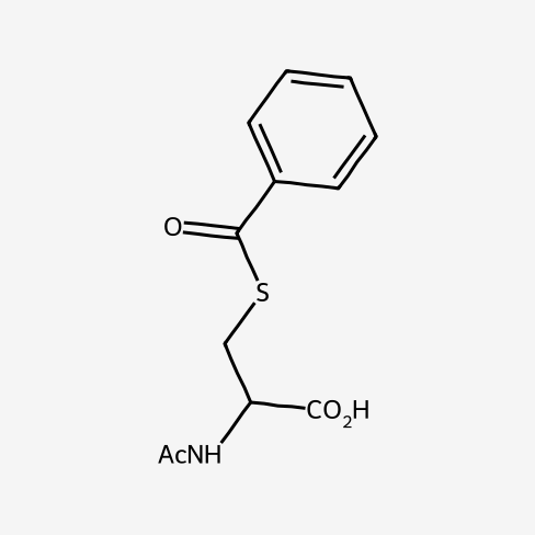 CC(=O)NC(CSC(=O)c1ccccc1)C(=O)O